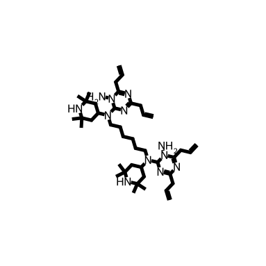 C=CCC1=NC(N(CCCCCCN(C2CC(C)(C)NC(C)(C)C2)C2N=C(CC=C)N=C(CC=C)N2N)C2CC(C)(C)NC(C)(C)C2)N(N)C(CC=C)=N1